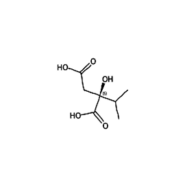 CC(C)[C@@](O)(CC(=O)O)C(=O)O